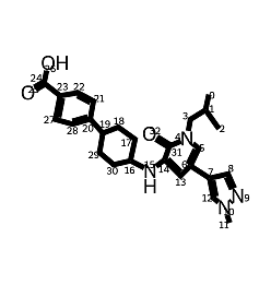 CC(C)Cn1cc(-c2cnn(C)c2)cc(NC2CCC(c3ccc(C(=O)O)cc3)CC2)c1=O